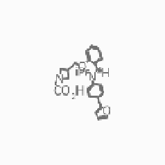 [2H]C(c1ccccc1OCC1CN(CC(=O)O)C1)N(c1ccc(-c2ccco2)cc1)C(C)C